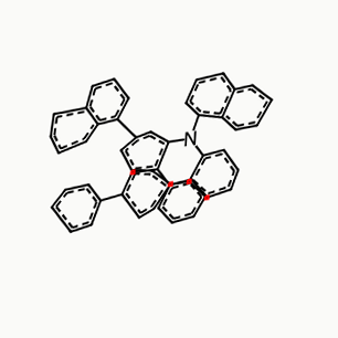 c1ccc(-c2ccc(-c3ccccc3N(c3cc(-c4cccc5ccccc45)ccc3-c3ccccc3)c3cccc4ccccc34)cc2)cc1